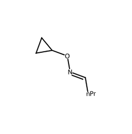 CCCC=NOC1CC1